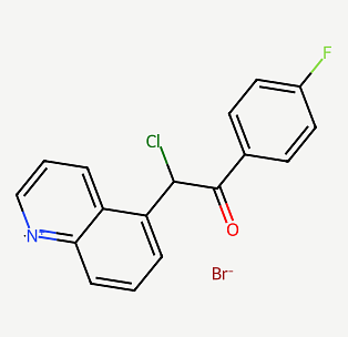 O=C(c1ccc(F)cc1)C(Cl)c1cccc2c1=CC=C[N+]=2.[Br-]